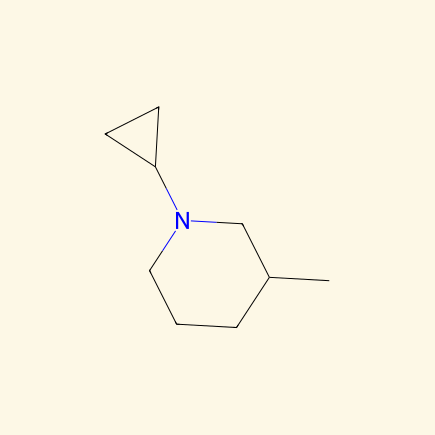 CC1CCCN(C2CC2)C1